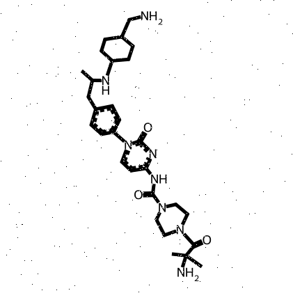 CC(Cc1ccc(-n2ccc(NC(=O)N3CCN(C(=O)C(C)(C)N)CC3)nc2=O)cc1)NC1CCC(CN)CC1